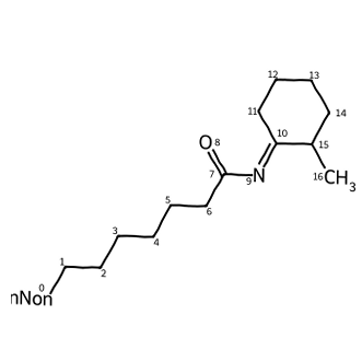 CCCCCCCCCCCCCCCC(=O)N=C1CCCCC1C